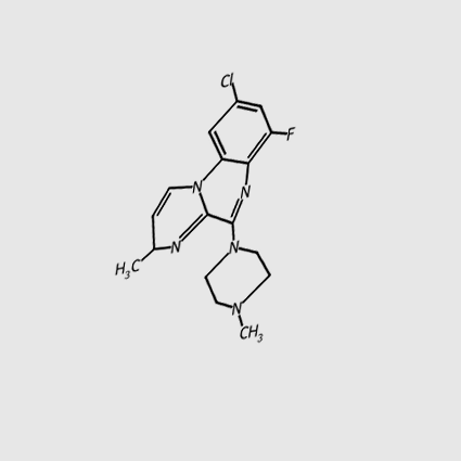 CC1C=CN2C(=N1)C(N1CCN(C)CC1)=Nc1c(F)cc(Cl)cc12